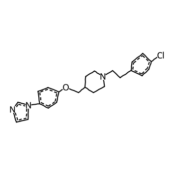 Clc1ccc(CCN2CCC(COc3ccc(-n4ccnc4)cc3)CC2)cc1